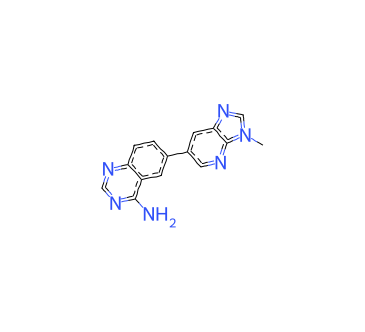 Cn1cnc2cc(-c3ccc4ncnc(N)c4c3)cnc21